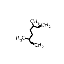 C=CC(C)CCC(C)C=C